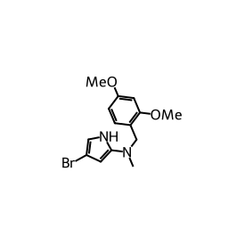 COc1ccc(CN(C)c2cc(Br)c[nH]2)c(OC)c1